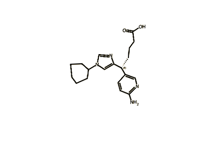 Nc1ccc([C@@H](CCCC(=O)O)c2cn(C3CCCCC3)cn2)cn1